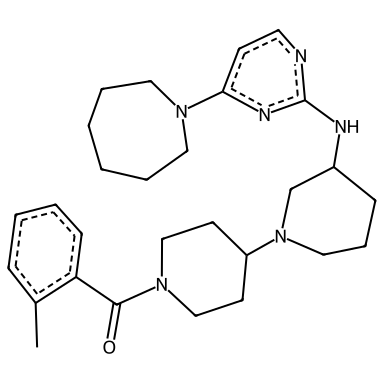 Cc1ccccc1C(=O)N1CCC(N2CCCC(Nc3nccc(N4CCCCCC4)n3)C2)CC1